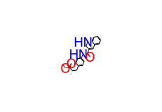 COC(=O)[C@@H](C)Cc1ccc(NC(=O)C2=Cc3ccccc3NC2)cc1